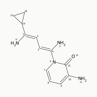 N/C(=C\C=C(/N)n1cccc(N)c1=O)C1CC1